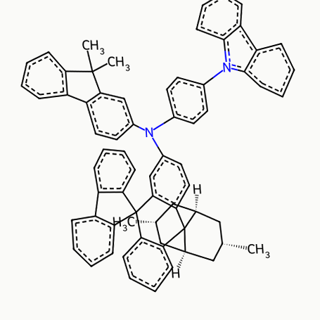 CC1(C)c2ccccc2-c2ccc(N(c3ccc(-n4c5ccccc5c5ccccc54)cc3)c3ccc4c(c3)C3(c5ccccc5-c5ccccc53)c3ccccc3C43[C@H]4C[C@@H](C)C[C@@H]3C[C@@H](C)C4)cc21